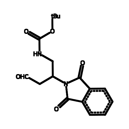 CC(C)(C)OC(=O)NCC(CC=O)N1C(=O)c2ccccc2C1=O